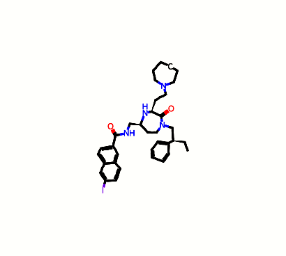 CC[C@H](CN1CC[C@@H](CNC(=O)c2ccc3cc(I)ccc3c2)N[C@@H](CCN2CCCCCC2)C1=O)c1ccccc1